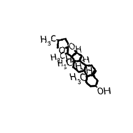 CC1[C@H]2[C@H](C[C@H]3[C@@H]4CC=C5CC(O)CC[C@]5(C)[C@H]4CC[C@@]32C)O[C@]12CC[C@H](C)CO2